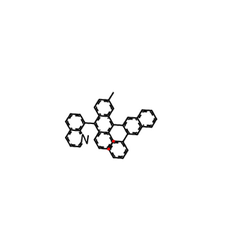 Cc1ccc2c(-c3cccc4cccnc34)c3ccccc3c(-c3cc4ccccc4cc3-c3ccccc3)c2c1